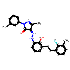 CC1=NN(c2cccc(C(=O)O)c2)C(=O)/C1=N\Nc1cccc(CCc2cccc(C)c2F)c1O